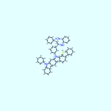 Nc1ccccc1N/C(=C/c1ccccc1)c1cccc(-n2c3cc4c(cc3c3ccc5c6ccccc6sc5c32)c2ccccc2n4-c2ccccc2)c1